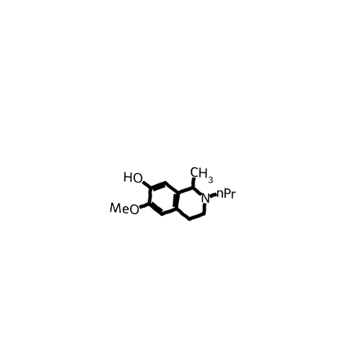 CCCN1CCc2cc(OC)c(O)cc2C1C